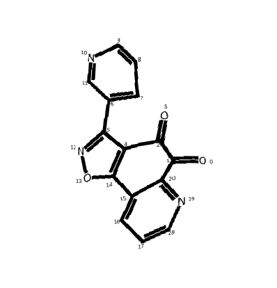 O=C1C(=O)c2c(-c3cccnc3)noc2-c2cccnc21